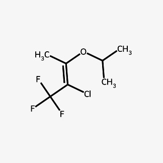 CC(OC(C)C)=C(Cl)C(F)(F)F